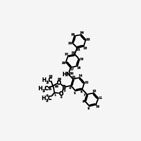 CC1OB(c2cc(-c3ccccc3)ccc2Nc2ccc(-c3ccccc3)cc2)OC1(C)C